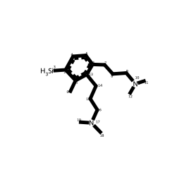 Cc1c([SiH3])ccc(CCCN(C)C)c1CCCN(C)C